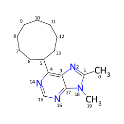 Cc1nc2c(C3CCCCCCCC3)ncnc2n1C